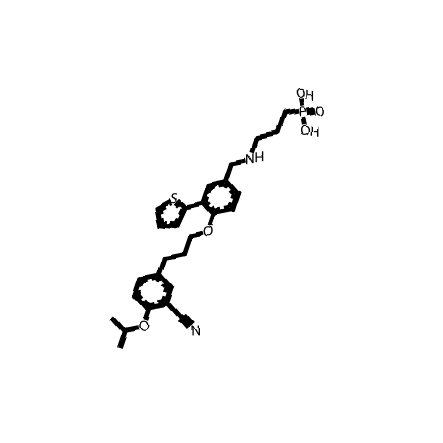 CC(C)Oc1ccc(CCCOc2ccc(CNCCCP(=O)(O)O)cc2-c2cccs2)cc1C#N